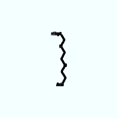 CCCCCCCCOCCOCCOC(C)=O